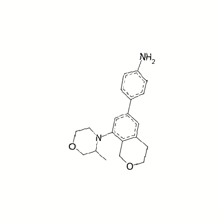 CC1COCCN1c1cc(-c2ccc(N)cc2)cc2c1COCC2